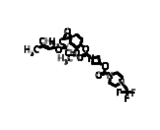 CO[C@H]1[C@H](C(C)(C)OCC=C(C)C)[C@]2(CC[C@H]1OC(=O)N1CC(OC(=O)N3CCN(CC(F)(F)F)CC3)C1)CO2